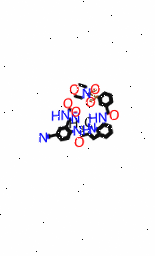 Cn1c(C(=O)Nc2ccc(C#N)cc2-c2noc(=O)[nH]2)cc2cccc(NC(=O)c3cccc(S(=O)(=O)N4CCOCC4)c3)c21